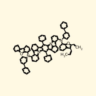 C=Cc1oc2c(N(c3cccc(-c4ccccc4)c3)c3cccc4c3c3cccc5c6c(-c7ccccc7)c7c(c(-c8ccccc8)c6n4c35)c3cccc4c5c(N(c6cccc(-c8ccccc8)c6)c6cccc8c6oc6ccccc68)cccc5n7c43)cccc2c1/C=C\C